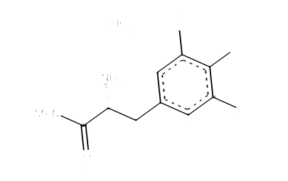 CNC(=O)[C@H](N)Cc1cc(F)c(F)c(F)c1.Cl